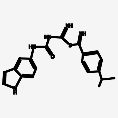 CC(C)c1ccc(C(=N)SC(=N)NC(=O)Nc2ccc3[nH]ccc3c2)cc1